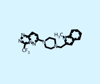 Cn1c(CN2CCN(c3ccc4nnc(C(F)(F)F)n4n3)CC2)cc2ccccc21